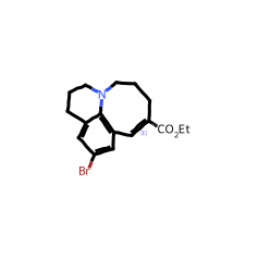 CCOC(=O)/C1=C/c2cc(Br)cc3c2N(CCC1)CCC3